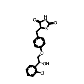 O=C1NC(=O)C(Cc2ccc(OC[C@H](O)c3ccccc3Cl)cc2)S1